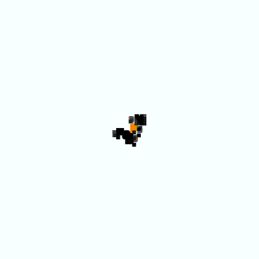 [B].[Fe].[Ni].[P]